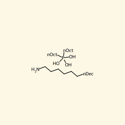 CCCCCCCCCCCCCCCCN.CCCCCCCCP(O)(O)(O)CCCCCCCC